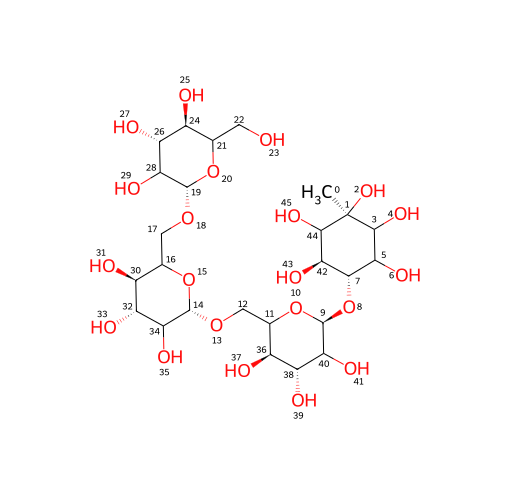 C[C@]1(O)C(O)C(O)[C@H](O[C@@H]2OC(CO[C@H]3OC(CO[C@H]4OC(CO)[C@H](O)[C@@H](O)C4O)[C@H](O)[C@@H](O)C3O)[C@H](O)[C@@H](O)C2O)[C@@H](O)C1O